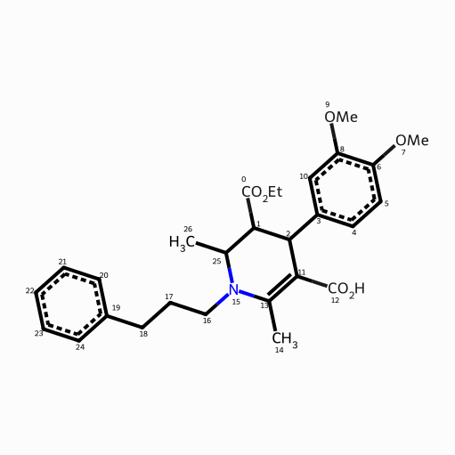 CCOC(=O)C1C(c2ccc(OC)c(OC)c2)C(C(=O)O)=C(C)N(CCCc2ccccc2)C1C